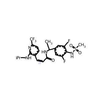 CC(C)Nc1nc(C(F)(F)F)ccc1/C=C\C(=O)NC(C)c1cc(F)c(NS(C)(=O)=O)c(F)c1